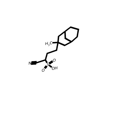 CC1(CCC(C#N)S(=O)(=O)O)CC2CCCC(C2)C1